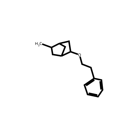 CC1CC2CC1CC2OCCc1ccccc1